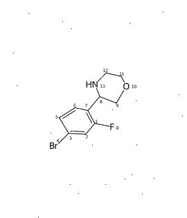 Fc1cc(Br)ccc1C1COCCN1